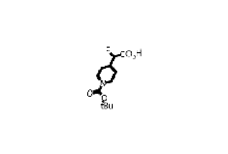 CC(C)(C)OC(=O)N1CCC(C(F)C(=O)O)CC1